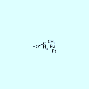 C.CO.[Pt].[Ru]